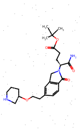 CC(C)(C)OC(=O)CC[C@@H](C(N)=O)N1Cc2cc(CCOC3CCCNC3)ccc2C1=O